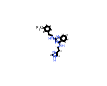 FC(F)(F)c1cccc(CCNc2nc(NCCc3c[nH]cn3)c3ccccc3n2)c1